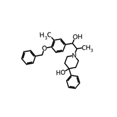 Cc1cc(C(O)C(C)N2CCC(O)(c3ccccc3)CC2)ccc1OCc1ccccc1